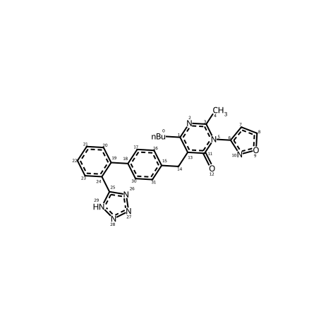 CCCCc1nc(C)n(-c2ccon2)c(=O)c1Cc1ccc(-c2ccccc2-c2nnn[nH]2)cc1